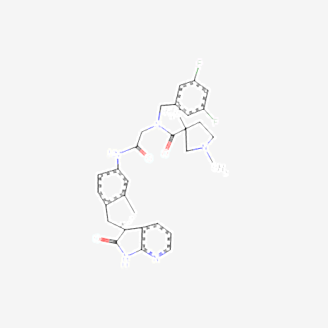 CN1CCC(C)(C(=O)N(CC(=O)Nc2ccc3c(c2)C[C@@]2(C3)C(=O)Nc3ncccc32)Cc2cc(F)cc(F)c2)C1